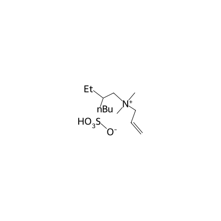 C=CC[N+](C)(C)CC(CC)CCCC.O=S(=O)([O-])O